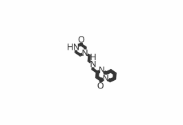 O=C1CN(CCNCc2cc(=O)n3ccccc3n2)CCN1